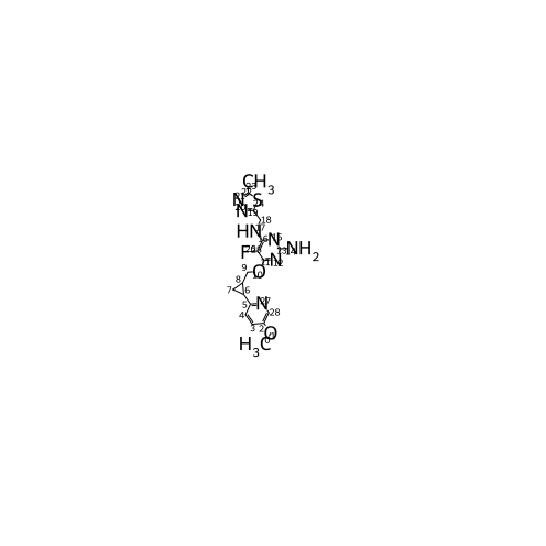 COc1ccc(C2CC2COc2nc(N)nc(NCc3nnc(C)s3)c2F)nc1